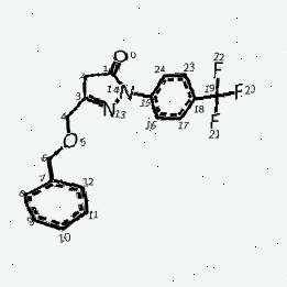 O=C1CC(COCc2ccccc2)=NN1c1ccc(C(F)(F)F)cc1